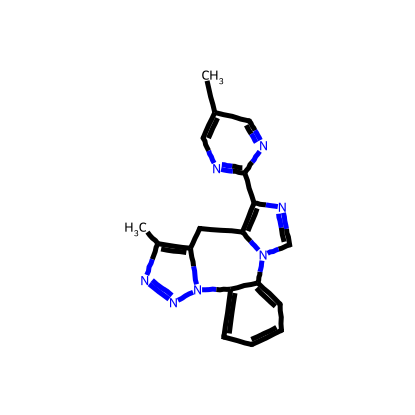 Cc1cnc(-c2ncn3c2Cc2c(C)nnn2-c2ccccc2-3)nc1